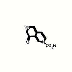 O=C1CNC=C2C=CN(C(=O)O)C=C12